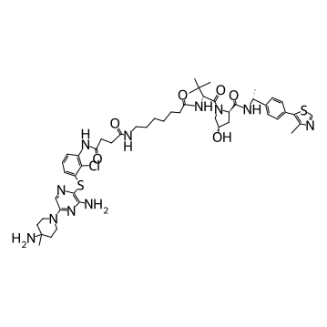 Cc1ncsc1-c1ccc([C@@H](C)NC(=O)[C@H]2C[C@@H](O)CN2C(=O)[C@H](NC(=O)CCCCCCNC(=O)CCC(=O)Nc2cccc(Sc3ncc(N4CCC(C)(N)CC4)nc3N)c2Cl)C(C)(C)C)cc1